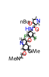 CCCCOc1ccncc1C(=O)Nc1cc(F)c(Oc2ccnc3cc(OCCNC)c(OC)cc23)c(F)c1